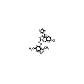 CCn1nc(C)c2c(OCC3COC(Cn4ccnc4)(c4ccc(Cl)cc4Cl)O3)cc(C)nc21